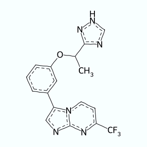 CC(Oc1cccc(-c2cnc3nc(C(F)(F)F)ccn23)c1)c1nc[nH]n1